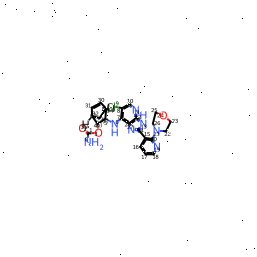 NC(=O)O[C@@H]1[C@H](Nc2c(Cl)cnc3[nH]c(-c4cccnc4N4CCOCC4)nc23)[C@H]2C=C[C@@H]1C2